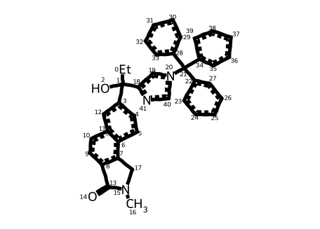 CCC(O)(c1ccc2c3c(ccc2c1)C(=O)N(C)C3)c1cn(C(c2ccccc2)(c2ccccc2)c2ccccc2)cn1